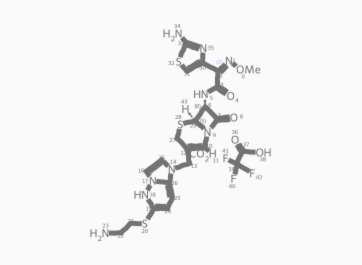 CO/N=C(\C(=O)N[C@@H]1C(=O)N2C(C(=O)O)=C(CN3C=CN4NC(SCCN)=CC=C34)CS[C@@H]12)c1csc(N)n1.O=C(O)C(F)(F)F